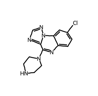 Clc1ccc2nc(N3CCNCC3)c3ncnn3c2c1